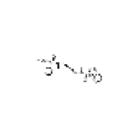 CO[C@H](C(=O)NCC#CC#CCNC(=O)[C@@H](C)c1ccccc1)c1ccccc1